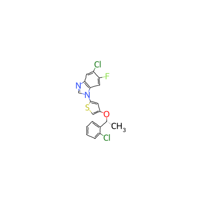 C[C@@H](Oc1csc(-n2cnc3cc(Cl)c(F)cc32)c1)c1ccccc1Cl